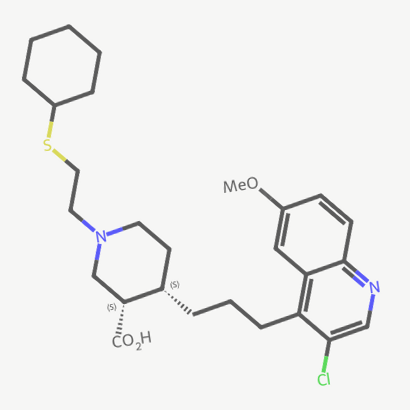 COc1ccc2ncc(Cl)c(CCC[C@H]3CCN(CCSC4CCCCC4)C[C@H]3C(=O)O)c2c1